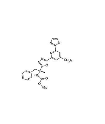 CC(C)(C)OC(=O)N[C@](C)(Cc1ccccc1)c1nnc(-c2cc(C(=O)O)cc(-c3ncco3)n2)o1